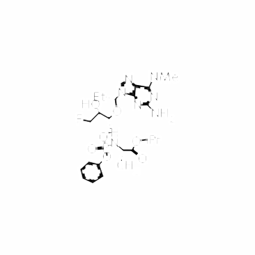 CC[C@@H](O[C@H](CO[P@@](=O)(N[C@@H](C)C(=O)OC(C)C)Oc1ccccc1)[C@@H](O)CF)n1cnc2c(NC)nc(N)nc21